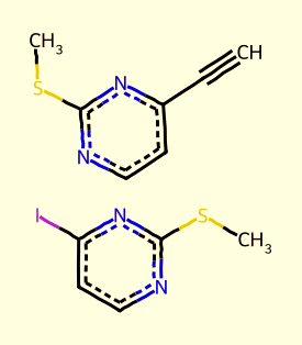 C#Cc1ccnc(SC)n1.CSc1nccc(I)n1